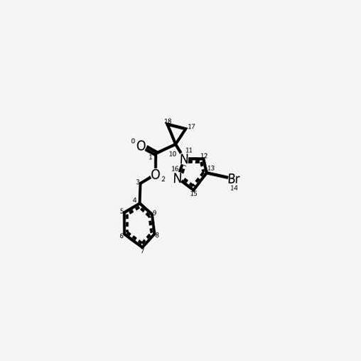 O=C(OCc1ccccc1)C1(n2cc(Br)cn2)CC1